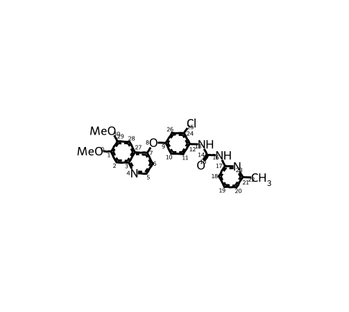 COc1cc2nccc(Oc3ccc(NC(=O)Nc4cccc(C)n4)c(Cl)c3)c2cc1OC